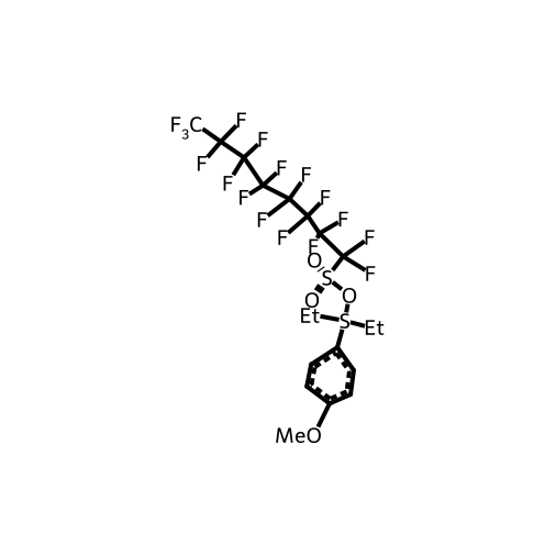 CCS(CC)(OS(=O)(=O)C(F)(F)C(F)(F)C(F)(F)C(F)(F)C(F)(F)C(F)(F)C(F)(F)C(F)(F)F)c1ccc(OC)cc1